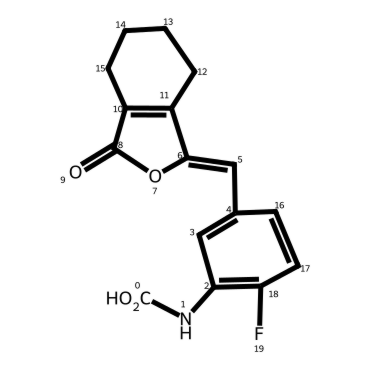 O=C(O)Nc1cc(C=C2OC(=O)C3=C2CCCC3)ccc1F